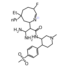 CCCC1(CC)CCC(F)/C=N\C(C(C(=O)NC2CN(C)CCC2c2ccc(S(C)(=O)=O)cc2)C(N)N)C1